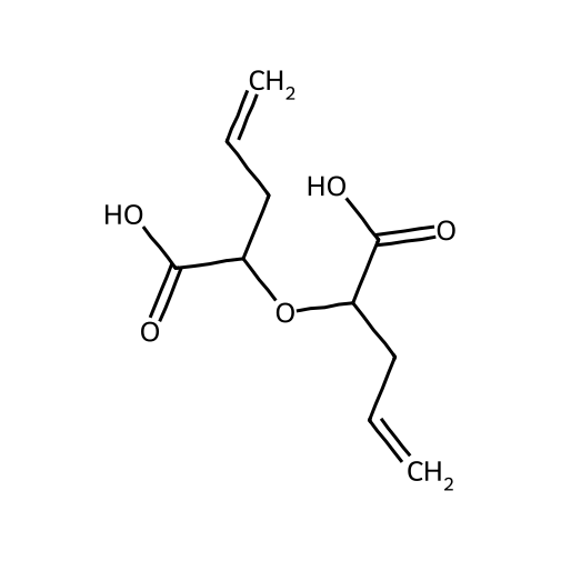 C=CCC(OC(CC=C)C(=O)O)C(=O)O